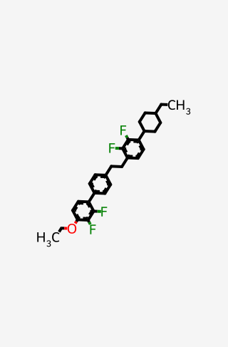 CCOc1ccc(-c2ccc(CCc3ccc(C4CCC(CC)CC4)c(F)c3F)cc2)c(F)c1F